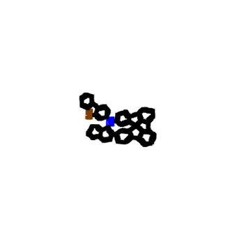 c1ccc2c(c1)-c1cccc3c1C21c2cc(N(c4ccc5c(c4)sc4ccccc45)c4cccc5ccccc45)ccc2-c2cccc-3c21